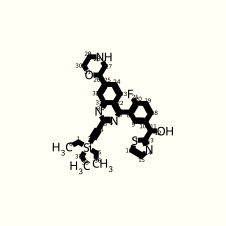 CC[Si](C#Cc1nc(-c2cc(C(O)c3nccs3)ccc2F)c2ccc(C3CNCCO3)cc2n1)(CC)CC